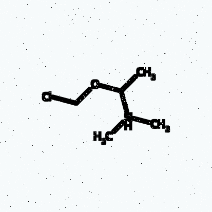 CC(OCCl)[SiH](C)C